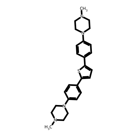 CN1CCN(c2ccc(-c3ccc(-c4ccc(N5CCN(C)CC5)cc4)s3)cc2)CC1